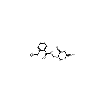 NCc1ccccc1C(=O)OCC1CCC(=O)CC1=O